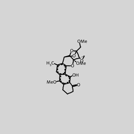 COCC12OC3c4c(C)cc5c(OC)c6c(c(O)c5c4O[C@](OC)(C3O1)[C@@]21CO1)C(=O)CCC6